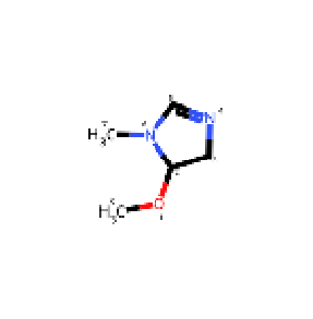 COC1[C]N=CN1C